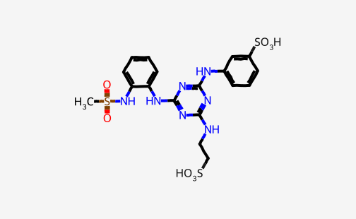 CS(=O)(=O)Nc1ccccc1Nc1nc(NCCS(=O)(=O)O)nc(Nc2cccc(S(=O)(=O)O)c2)n1